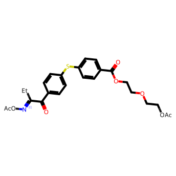 CC/C(=N\OC(C)=O)C(=O)c1ccc(Sc2ccc(C(=O)OCCOCCOC(C)=O)cc2)cc1